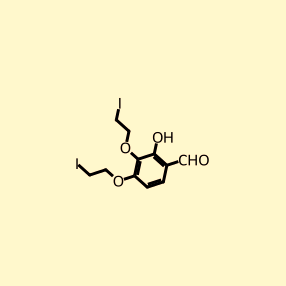 O=Cc1ccc(OCCI)c(OCCI)c1O